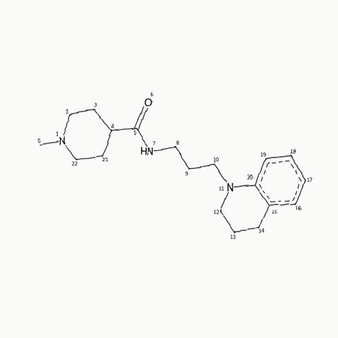 CN1CCC(C(=O)NCCCN2CCCc3ccccc32)CC1